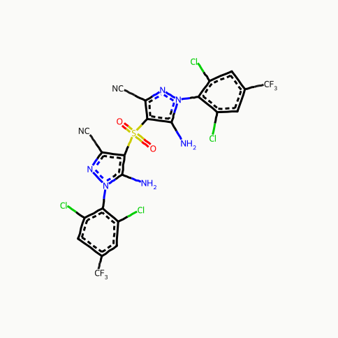 N#Cc1nn(-c2c(Cl)cc(C(F)(F)F)cc2Cl)c(N)c1S(=O)(=O)c1c(C#N)nn(-c2c(Cl)cc(C(F)(F)F)cc2Cl)c1N